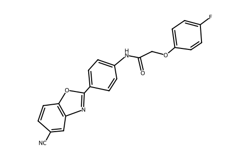 N#Cc1ccc2oc(-c3ccc(NC(=O)COc4ccc(F)cc4)cc3)nc2c1